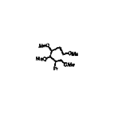 COCCC(OC)C(OC)C(COC)C(C)C